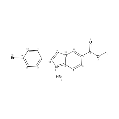 Br.COC(=O)c1ccc2nc(-c3ccc(Br)cc3)cn2c1